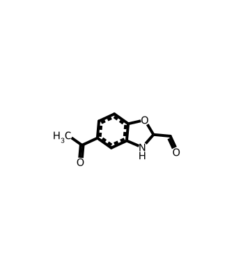 CC(=O)c1ccc2c(c1)NC(C=O)O2